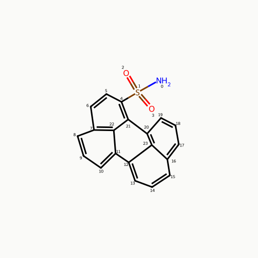 NS(=O)(=O)c1ccc2cccc3c4cccc5cccc(c1c23)c54